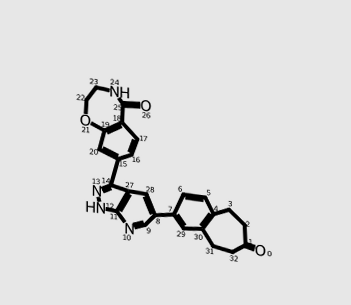 O=C1CCc2ccc(-c3cnc4[nH]nc(-c5ccc6c(c5)OCCNC6=O)c4c3)cc2CC1